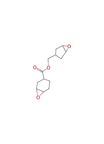 O=C(OCC1CC2OC2C1)C1CCC2OC2C1